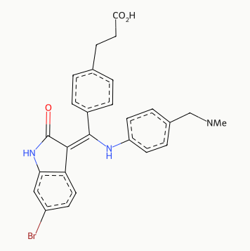 CNCc1ccc(NC(=C2C(=O)Nc3cc(Br)ccc32)c2ccc(CCC(=O)O)cc2)cc1